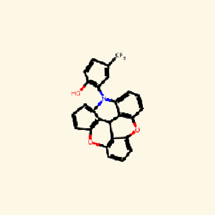 Oc1ccc(C(F)(F)F)cc1N1c2cccc3c2C2c4c(cccc4Oc4cccc1c42)O3